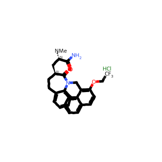 CN[C@@H](C[C@@H]1CCc2ccccc2N(Cc2c(OCC(F)(F)F)ccc3ccccc23)C1=O)C(N)=O.Cl